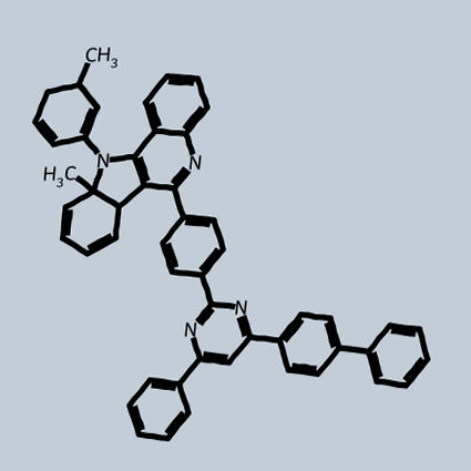 CC1C=C(N2c3c(c(-c4ccc(-c5nc(-c6ccccc6)cc(-c6ccc(-c7ccccc7)cc6)n5)cc4)nc4ccccc34)C3C=CC=CC32C)C=CC1